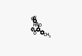 Cc1ccc(-c2cc(C(=O)NCc3ccc4ocnc4c3)cc(C(=O)N3CCCC3)c2)cc1